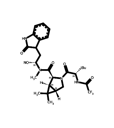 CN(C(=O)[C@@H]1[C@H]2[C@H](CN1C(=O)[C@@H](NC(=O)C(F)(F)F)C(C)(C)C)C2(C)C)[C@H](C#N)CC1C(=O)Nc2ccccc21